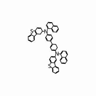 C1=CC(N(c2ccc(C3=CC=C(N(c4ccc5sc6ccccc6c5c4)c4cccc5ccccc45)CC3)cc2)c2cccc3ccccc23)Cc2c1sc1ccccc21